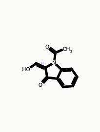 CC(=O)N1/C(=C/O)C(=O)c2ccccc21